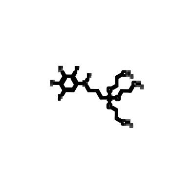 CCCO[Si](CCCN(F)c1cc(F)c(F)c(F)c1F)(OCCC)OCCC